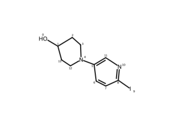 OC1CCN(c2ccc(I)nc2)CC1